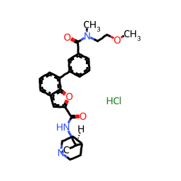 COCCN(C)C(=O)c1cccc(-c2cccc3cc(C(=O)N[C@@H]4CN5CCC4CC5)oc23)c1.Cl